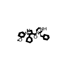 COc1cccc(-n2ncc(C(=O)N3CCNC[C@H]3Cc3ccccc3)c2C2CCCCC2)c1